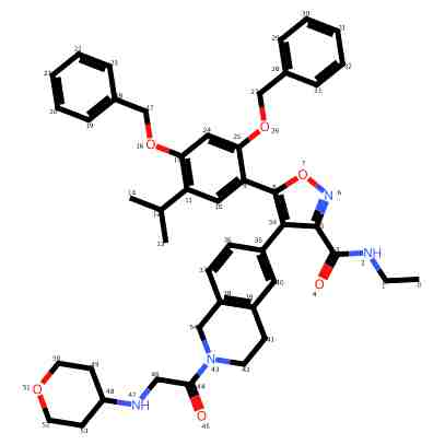 CCNC(=O)c1noc(-c2cc(C(C)C)c(OCc3ccccc3)cc2OCc2ccccc2)c1-c1ccc2c(c1)CCN(C(=O)CNC1CCOCC1)C2